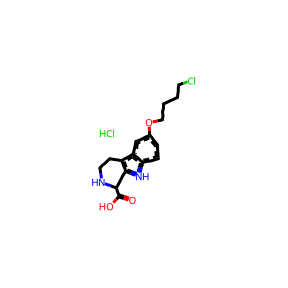 Cl.O=C(O)C1NCCc2c1[nH]c1ccc(OCCCCCl)cc21